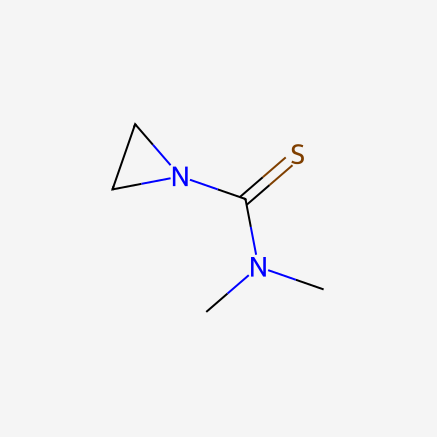 CN(C)C(=S)N1CC1